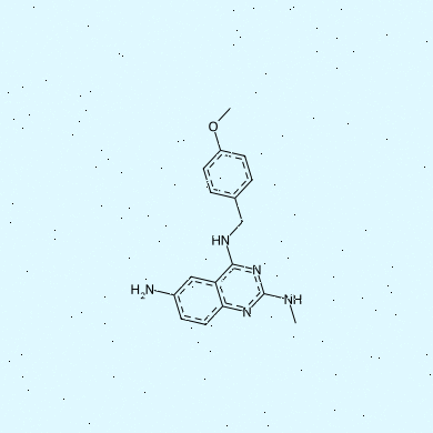 CNc1nc(NCc2ccc(OC)cc2)c2cc(N)ccc2n1